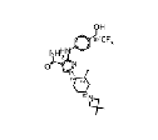 C[C@H]1C[C@H](N2CC(C)(C)C2)CC[C@@H]1n1cc(C(N)=O)c(Nc2ccc([C@H](O)C(F)(F)F)cc2)n1